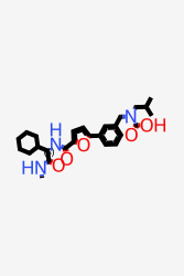 CNC(=O)[C@@H](NC(=O)c1ccc(-c2cccc(CN(CC(C)C)C(=O)O)c2)o1)C1CCCCC1